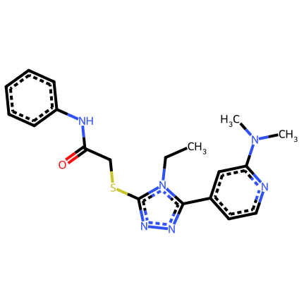 CCn1c(SCC(=O)Nc2ccccc2)nnc1-c1ccnc(N(C)C)c1